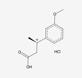 COc1cccc([C@H](C)CC(=O)O)c1.Cl